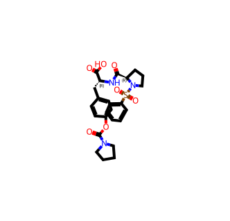 O=C(N[C@H](Cc1ccc(OC(=O)N2CCCC2)cc1)C(=O)O)[C@H]1CCCN1S(=O)(=O)c1ccccc1